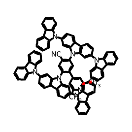 Cc1cc(-c2cc(-n3c4cc(-n5c6ccccc6c6ccccc65)ccc4c4ccc(-n5c6ccccc6c6ccccc65)cc43)c(C#N)cc2-n2c3cc(-n4c5ccccc5c5ccccc54)ccc3c3ccc(-n4c5ccccc5c5ccccc54)cc32)cc(C)n1